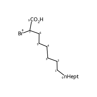 CCCCCCCCCCCCCC(Br)C(=O)O